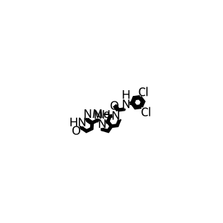 CNC1=C(C(=N)N2CCC3CCN(C(=O)CNc4cc(Cl)cc(Cl)c4)CC32)CCC(=O)N1